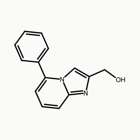 OCc1cn2c(-c3ccccc3)cccc2n1